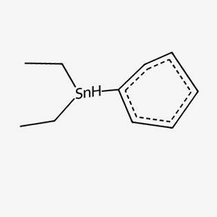 C[CH2][SnH]([CH2]C)[c]1ccccc1